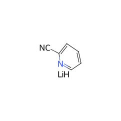 N#Cc1ccccn1.[LiH]